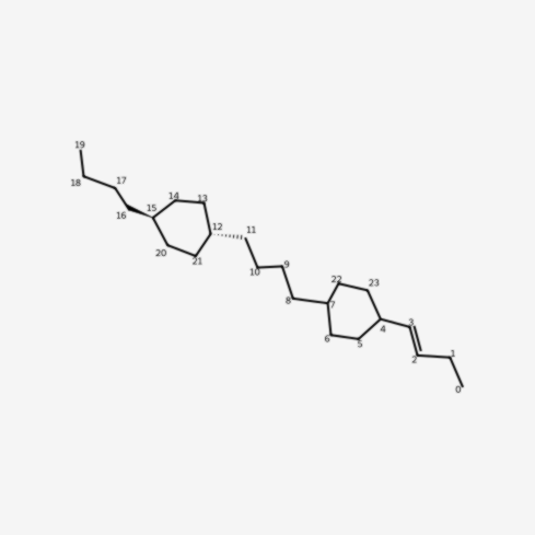 CCC=CC1CCC(CCCC[C@H]2CC[C@H](CCCC)CC2)CC1